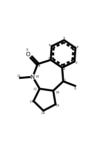 CC1c2ccccc2C(=O)N(C)C2CCCC12